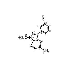 Nc1ccc2c(c1)c(-c1cccc(F)c1)nn2C(=O)O